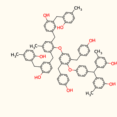 Cc1cc(O)cc(C(c2ccc(Oc3c(Cc4ccc(O)cc4)cc(Oc4c(Cc5ccc(O)c(Cc6cc(C)ccc6O)c5)cc(C)cc4Cc4ccc(O)c(Cc5cc(C)ccc5O)c4)cc3Cc3ccc(O)cc3)cc2)c2cc(C)cc(O)c2)c1